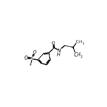 CC(C)CNC(=O)c1cccc(S(=O)(=O)F)c1